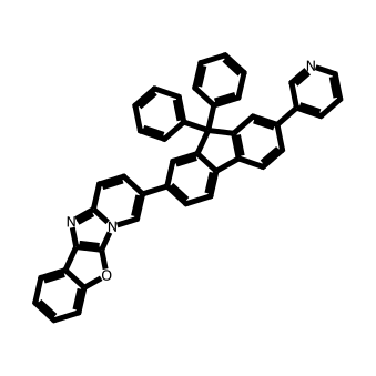 c1ccc(C2(c3ccccc3)c3cc(-c4cccnc4)ccc3-c3ccc(-c4ccc5nc6c7ccccc7oc6n5c4)cc32)cc1